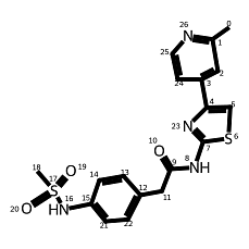 Cc1cc(-c2csc(NC(=O)Cc3ccc(NS(C)(=O)=O)cc3)n2)ccn1